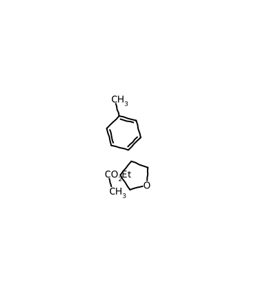 C1CCOC1.CCOC(C)=O.Cc1ccccc1